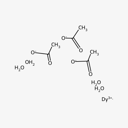 CC(=O)[O-].CC(=O)[O-].CC(=O)[O-].O.O.O.O.[Dy+3]